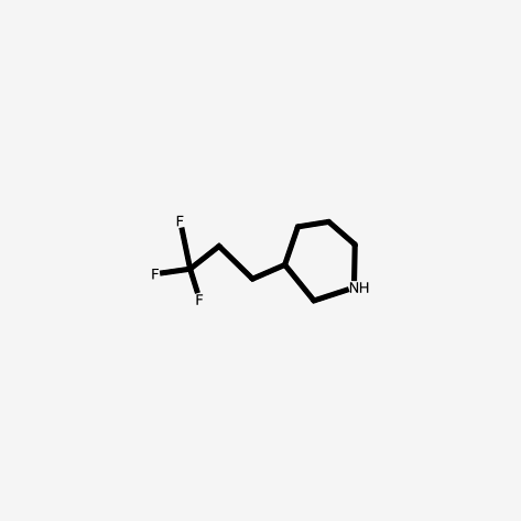 FC(F)(F)CCC1CCCNC1